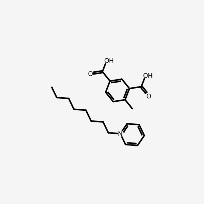 CCCCCCCC[n+]1ccccc1.Cc1ccc(C(=O)O)cc1C(=O)O